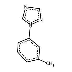 Cc1cccc(-n2[c]ncn2)c1